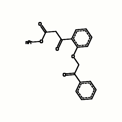 CCCOC(=O)CC(=O)c1ccccc1OCC(=O)c1ccccc1